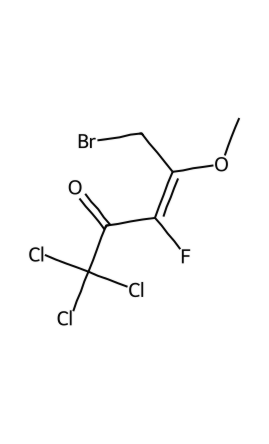 COC(CBr)=C(F)C(=O)C(Cl)(Cl)Cl